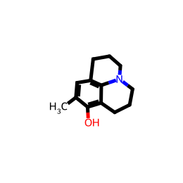 Cc1cc2c3c(c1O)CCCN3CCC2